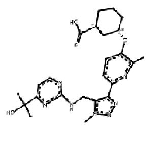 Cc1nc(-c2nnn(C)c2CNc2nccc(C(C)(C)O)n2)ccc1O[C@H]1CCC[C@H](C(=O)O)C1